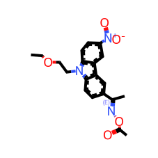 CCOCCn1c2ccc(/C(C)=N/OC(C)=O)cc2c2cc([N+](=O)[O-])ccc21